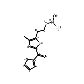 Cc1nc(C(=O)c2cccs2)sc1CCON(O)O